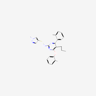 CCCc1c(Oc2ccccc2C)nc(NSc2cnn(C)c2)nc1-c1ccccc1C